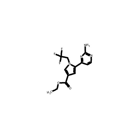 CCOC(=O)c1cc(-c2ccnc(N)n2)n(CC(F)(F)F)c1